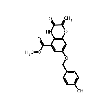 C=C1Oc2cc(OCc3ccc(C)cc3)cc(C(=O)OC)c2NC1=O